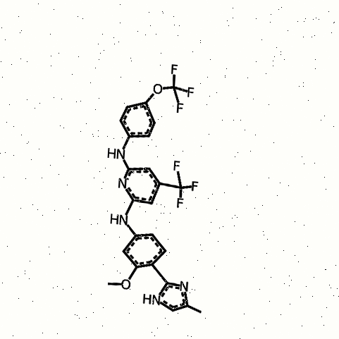 COc1cc(Nc2cc(C(F)(F)F)cc(Nc3ccc(OC(F)(F)F)cc3)n2)ccc1-c1nc(C)c[nH]1